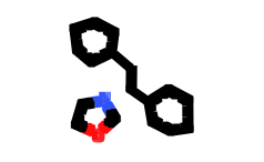 C(=C\c1ccccc1)/c1ccccc1.c1cocn1